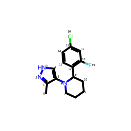 Cc1n[nH]cc1N1CCCCC1c1ccc(Cl)cc1F